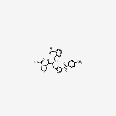 Cc1ccc(S(=O)(=O)n2cnc(C[C@H](NSc3ccccc3[N+](=O)[O-])C(=O)N3CSC[C@H]3C(N)=O)c2)cc1